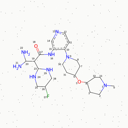 CN1CCC(OC2CCN(c3ccncc3NC(=O)C(C(N)N)C3NCC(F)CN3)CC2)CC1